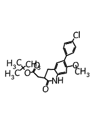 COc1cc2c(cc1-c1ccc(Cl)cc1)CC(CC(=O)OC(C)(C)C)C(=O)N2